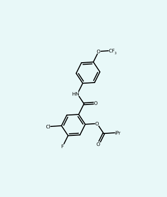 CC(C)C(=O)Oc1cc(F)c(Cl)cc1C(=O)Nc1ccc(OC(F)(F)F)cc1